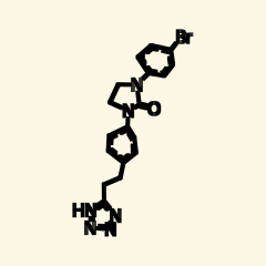 O=C1N(c2ccc(Br)cc2)CCN1c1ccc(CCc2nnn[nH]2)cc1